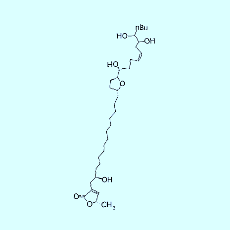 CCCCC(O)C(O)C/C=C\CC[C@H](O)[C@@H]1CC[C@@H](CCCCCCCCCCCC[C@@H](O)CC2=C[C@H](C)OC2=O)O1